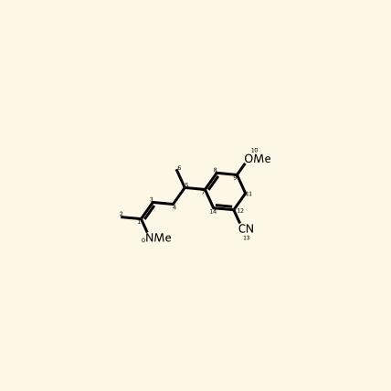 CN/C(C)=C\CC(C)C1=CC(OC)CC(C#N)=C1